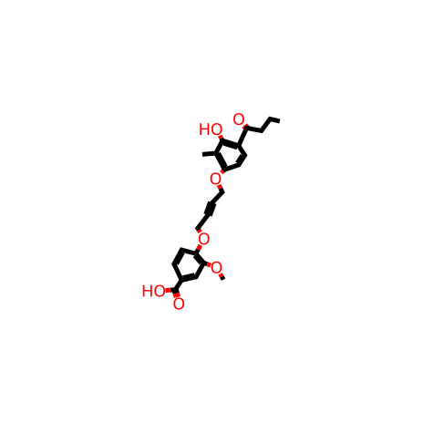 CCCC(=O)c1ccc(OCC#CCOc2ccc(C(=O)O)cc2OC)c(C)c1O